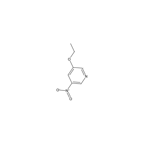 CCOc1[c]ncc([N+](=O)[O-])c1